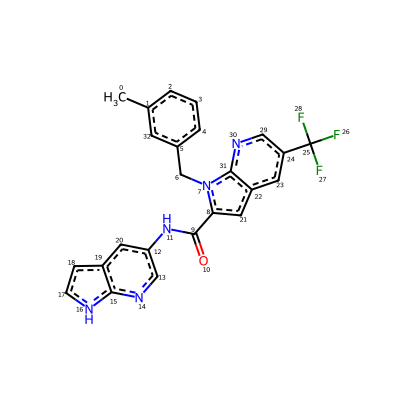 Cc1cccc(Cn2c(C(=O)Nc3cnc4[nH]ccc4c3)cc3cc(C(F)(F)F)cnc32)c1